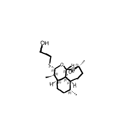 C[C@H]1[C@H](SCCO)O[C@@H]2O[C@]3(C)CC[C@H]4[C@H](C)CC[C@@H]1[C@@]24OO3